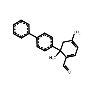 CC1=CC=C(C=O)C(C)(c2ccc(-c3ccccc3)cc2)C1